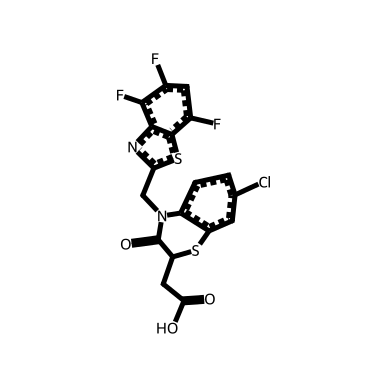 O=C(O)CC1Sc2cc(Cl)ccc2N(Cc2nc3c(F)c(F)cc(F)c3s2)C1=O